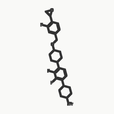 CCCC1CCC(c2ccc(C3CCC(OCc4ccc(C5CO5)c(F)c4)CC3)c(F)c2F)CC1